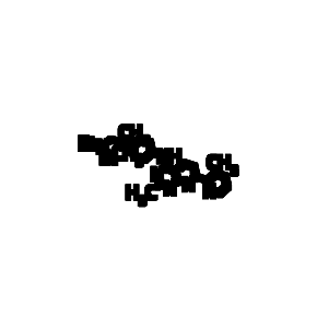 CCN(CC)CC(C)(C)c1ccc(Nc2nc(C)nc3nc(-c4ncccc4C)ccc23)cc1